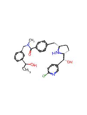 CC(O)c1cccc(CN(C)C(=O)c2ccc(C[C@@H]3CC[C@H]([C@H](O)c4ccc(Cl)nc4)N3)cc2)c1